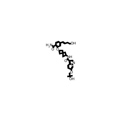 CC(C)(O)COc1ccc2c(C(=O)NC3CC4(C3)CC(Oc3cc(C=CCCO)ccc3C(N)=O)C4)cnn2c1